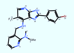 CSN(C)c1ncccc1CNc1c(C(F)(F)F)cnc2[nH]c(-c3ccc(Br)cc3)nc12